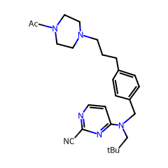 CC(=O)N1CCN(CCCc2ccc(CN(CC(C)(C)C)c3ccnc(C#N)n3)cc2)CC1